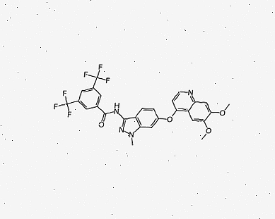 COc1cc2nccc(Oc3ccc4c(NC(=O)c5cc(C(F)(F)F)cc(C(F)(F)F)c5)nn(C)c4c3)c2cc1OC